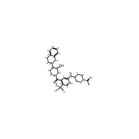 CC(=O)N1CCC(Nc2cc(C(=O)N3CCC(N4CCc5ccccc5C4)C(O)C3)c(C(F)(F)F)cn2)CC1